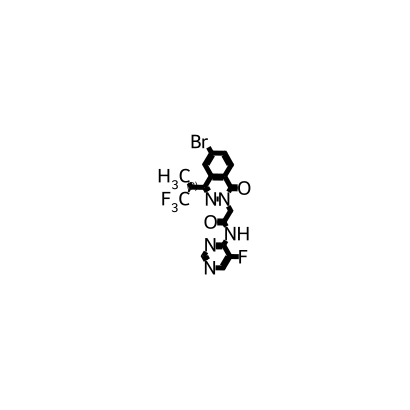 C[C@H](c1nn(CC(=O)Nc2ncncc2F)c(=O)c2ccc(Br)cc12)C(F)(F)F